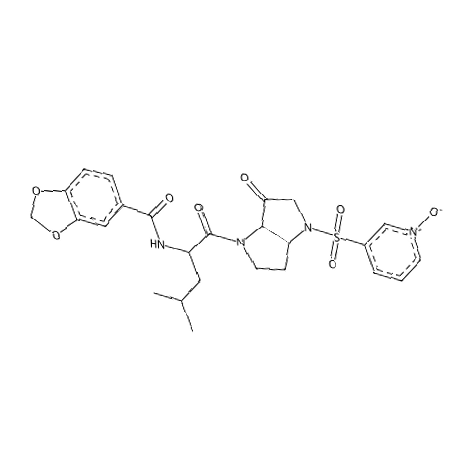 CC(C)CC(NC(=O)c1ccc2c(c1)OCO2)C(=O)N1CCC2C1C(=O)CN2S(=O)(=O)c1ccc[n+]([O-])c1